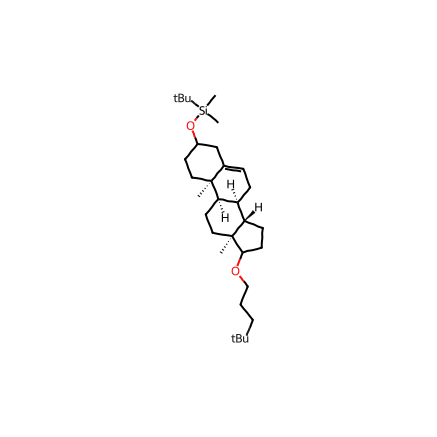 CC(C)(C)CCCOC1CC[C@H]2[C@@H]3CC=C4CC(O[Si](C)(C)C(C)(C)C)CC[C@]4(C)[C@@H]3CC[C@]12C